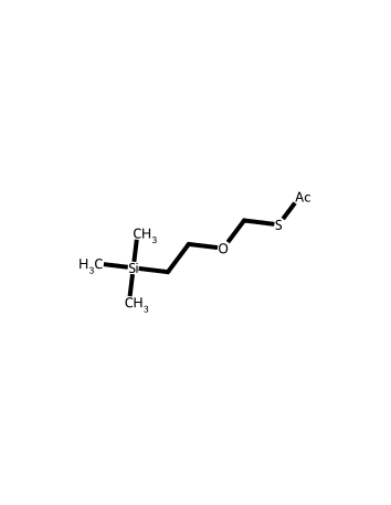 CC(=O)SCOCC[Si](C)(C)C